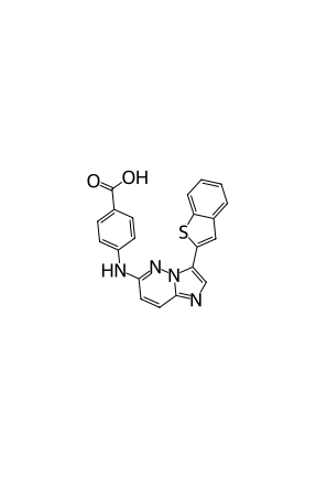 O=C(O)c1ccc(Nc2ccc3ncc(-c4cc5ccccc5s4)n3n2)cc1